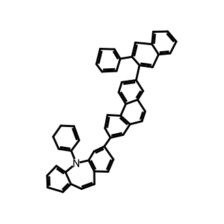 C1=CC(N2c3ccccc3C=Cc3ccc(-c4ccc5c(ccc6cc(-c7cc8ccccc8cc7-c7ccccc7)ccc65)c4)cc32)=CCC1